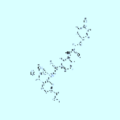 COc1ccc2c(c1)/C(=C/C(=O)c1cccc(NC(=O)COc3ccc(Cl)cc3)c1)NC(C)(C)C2